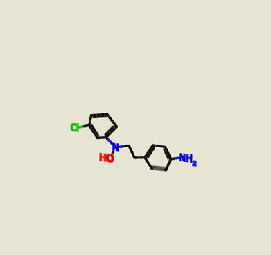 Nc1ccc(CCN(O)c2cccc(Cl)c2)cc1